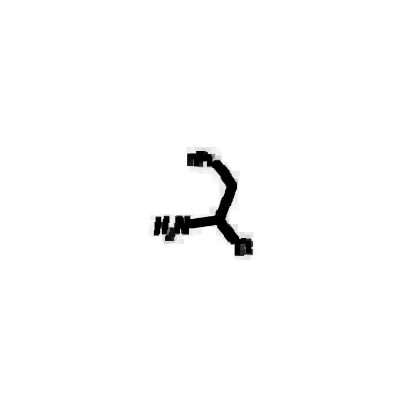 C[CH]CCC(N)CC